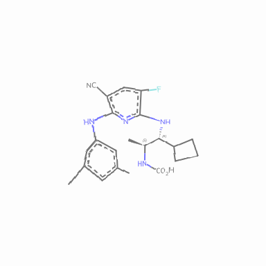 Cc1cc(C)cc(Nc2nc(N[C@H](C3CCC3)[C@H](C)NC(=O)O)c(F)cc2C#N)c1